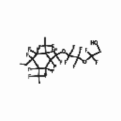 CCC1(F)C(F)(F)C(F)(C(C)(F)F)C(F)(C(F)(F)OC(F)(F)C(F)(F)OC(F)(F)CO)C(F)(F)C1(F)C(C)(F)F